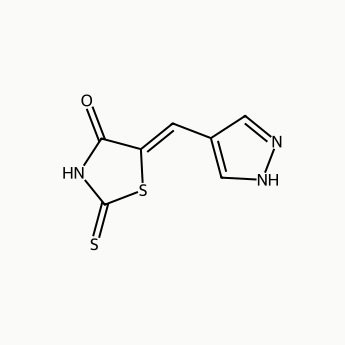 O=C1NC(=S)SC1=Cc1cn[nH]c1